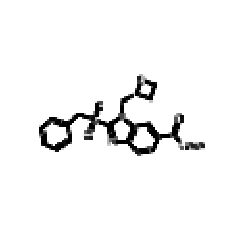 COC(=O)c1ccc2nc(S(=O)(=O)Cc3ccccc3)n(C[C@@H]3CCO3)c2c1